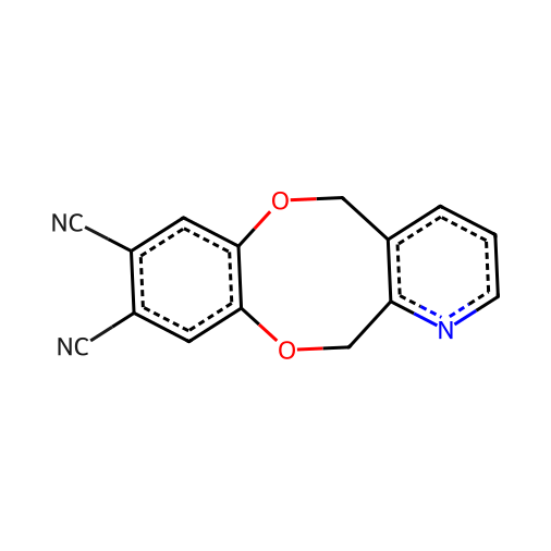 N#Cc1cc2c(cc1C#N)OCc1ncccc1CO2